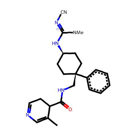 CN/C(=N\C#N)N[C@H]1CC[C@](CNC(=O)C2CC=NC=C2C)(c2ccccc2)CC1